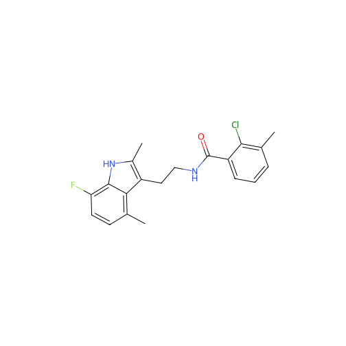 Cc1cccc(C(=O)NCCc2c(C)[nH]c3c(F)ccc(C)c23)c1Cl